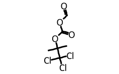 CC(C)(OC(=O)OC=O)C(Cl)(Cl)Cl